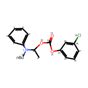 CCCCN(c1ccccc1)C(C)OC(=O)Oc1cccc(Cl)c1